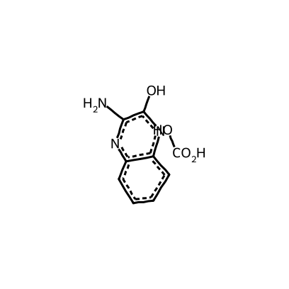 Nc1nc2ccccc2nc1O.O=C(O)O